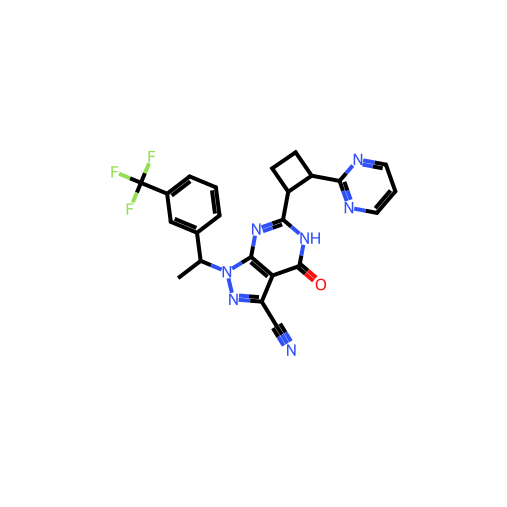 CC(c1cccc(C(F)(F)F)c1)n1nc(C#N)c2c(=O)[nH]c(C3CCC3c3ncccn3)nc21